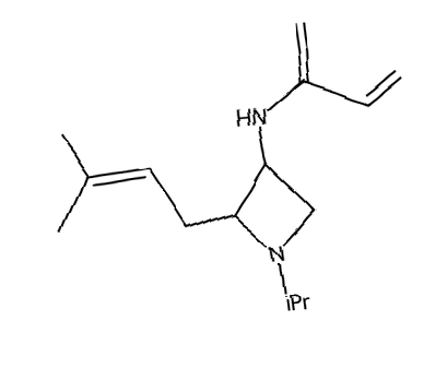 C=CC(=C)NC1CN(C(C)C)C1CC=C(C)C